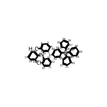 Cc1ccccc1[NH+](c1ccccc1)c1ccccc1C.c1ccc([B-](c2ccccc2)(c2ccccc2)c2ccccc2)cc1